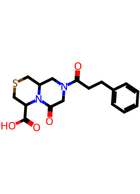 O=C(O)C1CSCC2CN(C(=O)CCc3ccccc3)CC(=O)N21